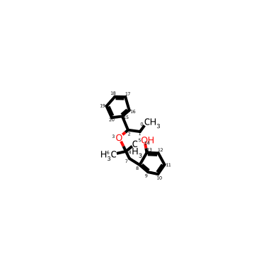 CCC(OC(C)(C)Cc1ccccc1O)c1ccccc1